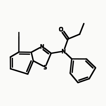 CCC(=O)N(c1ccccc1)c1nc2c(I)cccc2s1